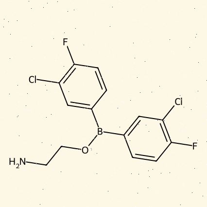 NCCOB(c1ccc(F)c(Cl)c1)c1ccc(F)c(Cl)c1